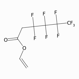 C=COC(=O)CC(F)(F)C(F)(F)C(F)(F)C(F)(F)F